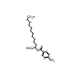 CCCCCCC(CCCCCCCCCCC(=O)O)OC(=O)c1ccc([N+](=O)[O-])cc1